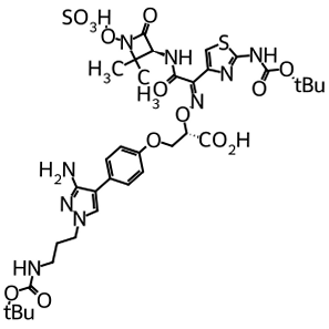 CC(C)(C)OC(=O)NCCCn1cc(-c2ccc(OC[C@H](O/N=C(\C(=O)N[C@@H]3C(=O)N(OS(=O)(=O)O)C3(C)C)c3csc(NC(=O)OC(C)(C)C)n3)C(=O)O)cc2)c(N)n1